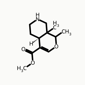 COC(=O)C1=COC(C)C2(C)CNCC[C@H]12